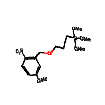 COc1ccc([N+](=O)[O-])c(COCCC[Si](OC)(OC)OC)c1